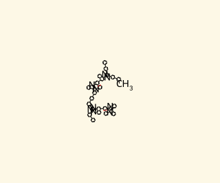 CC1C=C(c2ccc(-c3cc(-c4ccc(-c5ccccc5)cc4)nc(-c4ccc(-c5ccc(-c6nc7ccccc7c7c8cc(-c9ccc(-c%10cccc(-c%11nc(-c%12cccc(-c%13ccccc%13)c%12)nc(-c%12ccc(-c%13ccc(-c%14nc%15ccccc%15c%15c%16ccccc%16n(-c%16ccccc%16)c%14%15)cc%13)c%13ccccc%12%13)n%11)c%10)cc9)ccc8n(-c8ccccc8)c67)cc5)c5ccccc45)n3)cc2)C=CC1